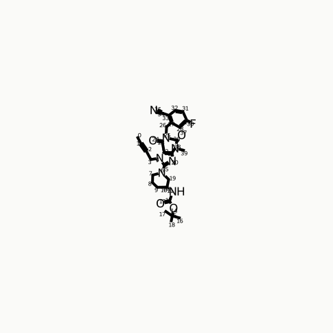 CC#CCn1c(N2CCC[C@@H](NC(=O)OC(C)(C)C)C2)nc2c1c(=O)n(Cc1cc(F)ccc1C#N)c(=O)n2C